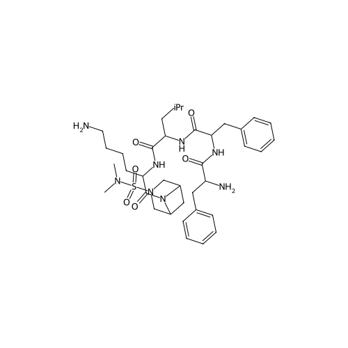 CC(C)CC(NC(=O)C(Cc1ccccc1)NC(=O)C(N)Cc1ccccc1)C(=O)NC(CCCCN)C(=O)N1C2CC1CN(S(=O)(=O)N(C)C)C2